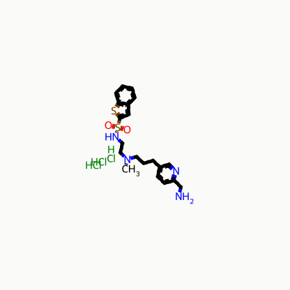 CN(CCCc1ccc(CN)nc1)CCNS(=O)(=O)c1cc2ccccc2s1.Cl.Cl.Cl